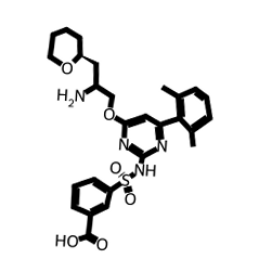 Cc1cccc(C)c1-c1cc(OCC(N)C[C@@H]2CCCCO2)nc(NS(=O)(=O)c2cccc(C(=O)O)c2)n1